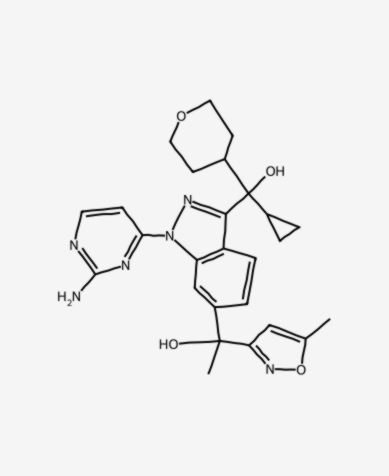 Cc1cc(C(C)(O)c2ccc3c(C(O)(C4CCOCC4)C4CC4)nn(-c4ccnc(N)n4)c3c2)no1